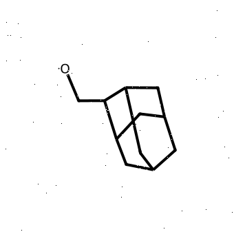 [O]CC1C2CC3CC(C2)CC1C3